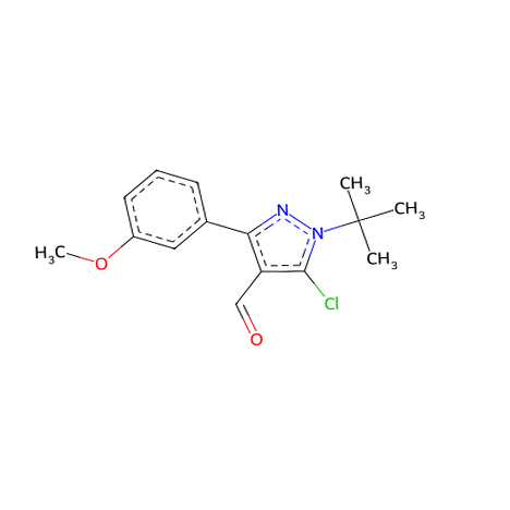 COc1cccc(-c2nn(C(C)(C)C)c(Cl)c2C=O)c1